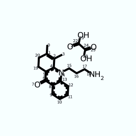 CC1=C(C)c2c(c(=O)c3ccccc3n2CCCN)CC1.O=C(O)C(=O)O